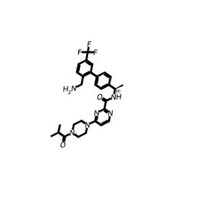 CC(C)C(=O)N1CCN(c2ccnc(C(=O)N[C@H](C)c3ccc(-c4cc(C(F)(F)F)ccc4CN)cc3)n2)CC1